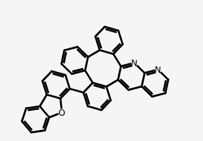 c1ccc2c(c1)-c1ccccc1-c1c(cccc1-c1cccc3c1oc1ccccc13)-c1cc3cccnc3nc1-2